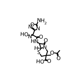 CC(=O)OCC1(C(=O)O)CS[C@@H]2C(NC(=O)C(=NO)c3noc(N)n3)C(=O)N2C1